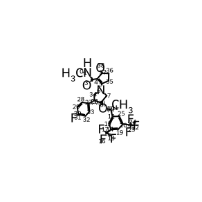 CNC(=O)C1=C(N2C[C@H](O[C@H](C)c3cc(C(F)(F)F)cc(C(F)(F)F)c3)[C@@H](c3ccc(F)cc3)C2)CCC1=O